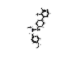 C/N=C(\Nc1ccc(OC)cc1)NC1CCC(c2ccnc(C)c2F)CC1